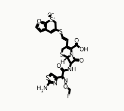 Nc1nc(C(=NOCF)C(=O)NC2C(=O)N3C(C(=O)O)=C(C=CSC4=Cc5ccoc5[S+]([O-])C4)CS[C@@H]23)cs1